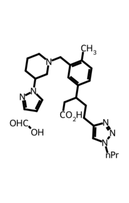 CCCn1cc(CCC(CC(=O)O)c2ccc(C)c(CN3CCCC(n4cccn4)C3)c2)nn1.O=CO